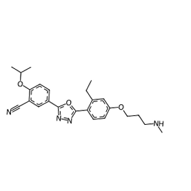 CCc1cc(OCCCNC)ccc1-c1nnc(-c2ccc(OC(C)C)c(C#N)c2)o1